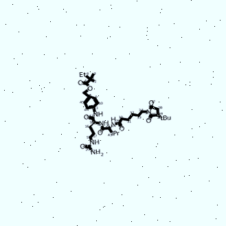 CCC(C)(C)C(=O)OCc1ccc(NC(=O)[C@H](CCCNC(N)=O)NC(=O)C(NC(=O)CCCCCN2C(=O)CC(C(C)(C)C)C2=O)C(C)C)cc1